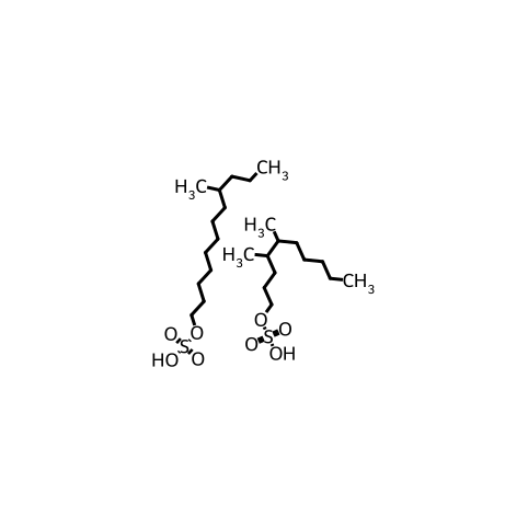 CCCC(C)CCCCCCCCOS(=O)(=O)O.CCCCCC(C)C(C)CCCOS(=O)(=O)O